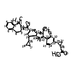 C[C@@H]1c2ccccc2CCN1C(=O)c1cc(C2CC2)c2nc(-c3ccc(C4CC4C(=O)O)cc3F)n(C)c2n1